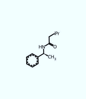 CC(C)CC(=O)N[C@@H](C)c1ccccc1